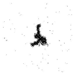 CC1(C)c2ccccc2-c2ccc(N(c3ccc(-c4ccc(-c5ccccc5)cc4)cc3)c3ccc4c5ccc(-c6ccc7oc8ccccc8c7c6)cc5c5ccccc5c4c3)cc21